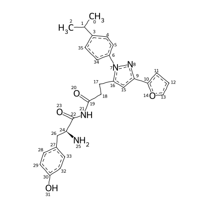 CC(C)c1ccc(-n2nc(-c3ccco3)cc2CCC(=O)NC(=O)[C@@H](N)Cc2ccc(O)cc2)cc1